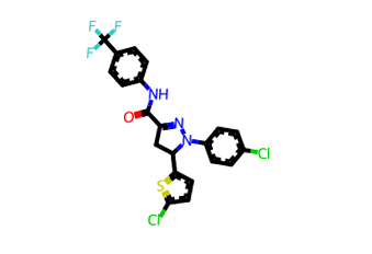 O=C(Nc1ccc(C(F)(F)F)cc1)C1=NN(c2ccc(Cl)cc2)C(c2ccc(Cl)s2)C1